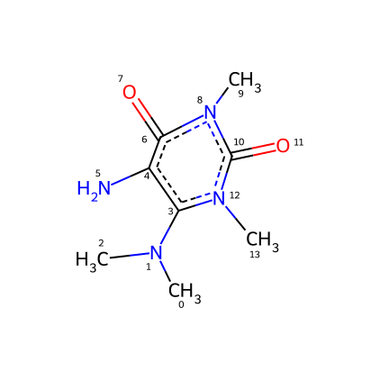 CN(C)c1c(N)c(=O)n(C)c(=O)n1C